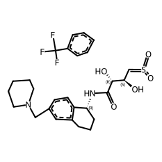 FC(F)(F)c1ccccc1.O=C(N[C@@H]1CCCc2cc(CN3CCCCC3)ccc21)[C@H](O)[C@H](O)C=S(=O)=O